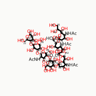 CC(=O)N[C@H]1[C@H](O[C@H]2[C@@H](O)[C@@H](CO)O[C@@H](O[C@H]3[C@H](O)[C@@H](O)[C@H](O)O[C@@H]3CO)[C@@H]2O)O[C@H](CO)[C@@H](O[C@@H]2O[C@H](CO)[C@H](O)[C@H](O[C@]3(C(=O)O)C[C@H](O)[C@@H](NC(C)=O)[C@H]([C@H](O)[C@@H](CO)O[C@]4(C(=O)O)C[C@H](O)[C@@H](NC(C)=O)[C@H]([C@H](O)[C@@H](CO)O[C@]5(C(=O)O)C[C@H](O)[C@@H](NC(C)=O)[C@H]([C@H](O)[C@H](O)CO)O5)O4)O3)[C@H]2O)[C@@H]1O